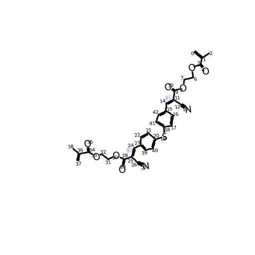 C=C(C)C(=O)OCCOC(=O)/C(C#N)=C/c1ccc(Sc2ccc(/C=C(\C#N)C(=O)OCCOC(=O)C(=C)C)cc2)cc1